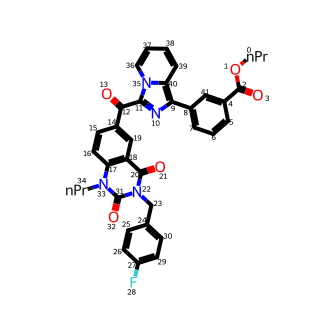 CCCOC(=O)c1cccc(-c2nc(C(=O)c3ccc4c(c3)c(=O)n(Cc3ccc(F)cc3)c(=O)n4CCC)n3ccccc23)c1